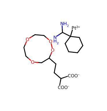 NC(N)[C]1([Pt+2])CCCCC1.O=C([O-])C(CCC1COCCOCCOO1)C(=O)[O-]